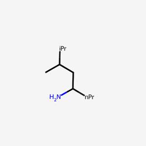 CCCC(N)CC(C)C(C)C